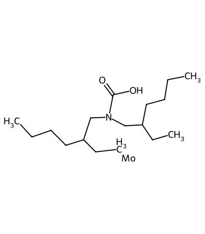 CCCCC(CC)CN(CC(CC)CCCC)C(=O)O.[Mo]